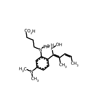 C/C=C\C(C)=C(\c1ccc(N(C)C)cc1N(CCCC(=O)O)C(C)C)[PH](=O)O